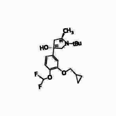 C[C@@H]1C[C@](O)(c2ccc(OC(F)F)c(OCC3CC3)c2)CN1C(C)(C)C